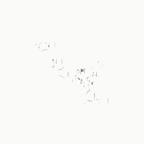 O=C(NCCc1cnc[nH]1)c1ccc(Cn2nnc3c(N4CCOCC4)nc(-c4cccc(O)c4)nc32)cc1